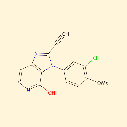 C#Cc1nc2ccnc(O)c2n1-c1ccc(OC)c(Cl)c1